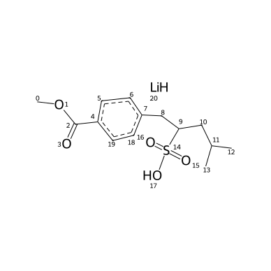 COC(=O)c1ccc(CC(CC(C)C)S(=O)(=O)O)cc1.[LiH]